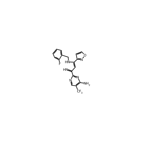 N=C(/C=C(\NCc1ccccc1F)c1ccon1)c1ncc(C(F)(F)F)c(N)n1